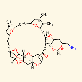 C=C1CC2CC[C@@]34C[C@H]5OC6C(O3)[C@H]3OC(CCC3O[C@H]6C5O4)CC(=O)CC3[C@@H](OC)C(CC(O)CN)O[C@H]3CC3OC(CCC1O2)C[C@@H](C)C3=C